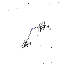 CNC(=O)C(=O)NCCCC/C=C\CCCCCCCCCC(=O)NS(=O)(=O)c1ccccc1